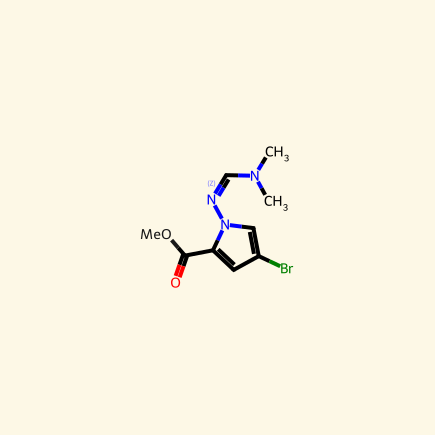 COC(=O)c1cc(Br)cn1/N=C\N(C)C